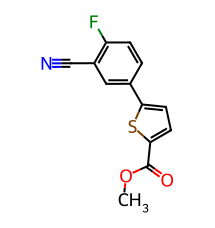 COC(=O)c1ccc(-c2ccc(F)c(C#N)c2)s1